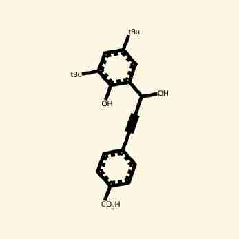 CC(C)(C)c1cc(C(O)C#Cc2ccc(C(=O)O)cc2)c(O)c(C(C)(C)C)c1